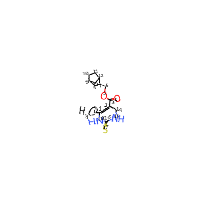 CC1=C(C(=O)OCC2CC3CCC2C3)CNC(=S)N1